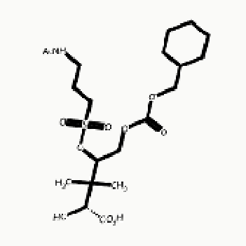 CC(=O)NCCCS(=O)(=O)OC(COC(=O)OCC1CCCCC1)C(C)(C)[C@@H](O)C(=O)O